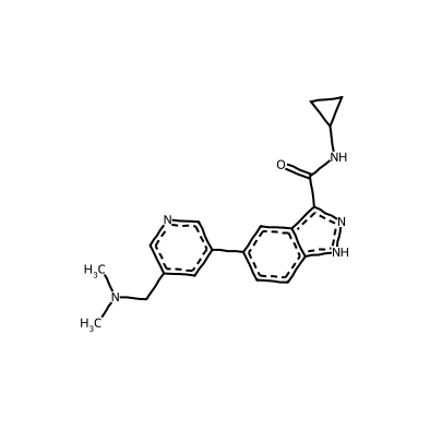 CN(C)Cc1cncc(-c2ccc3[nH]nc(C(=O)NC4CC4)c3c2)c1